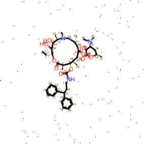 CC[C@H]1OC(=O)[C@H](C)[C@@H](OC(=O)NCCC(c2ccccc2)c2ccccc2)[C@H](C)[C@@H](O[C@@H]2O[C@H](C)C[C@H](N(C)C)[C@H]2O)[C@](C)(O)C[C@@H](C)CN(C)[C@H](C)[C@@H](O)[C@]1(C)O